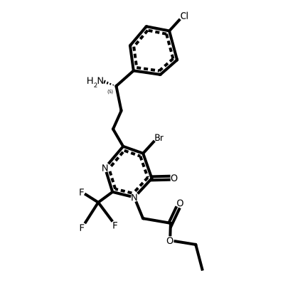 CCOC(=O)Cn1c(C(F)(F)F)nc(CC[C@H](N)c2ccc(Cl)cc2)c(Br)c1=O